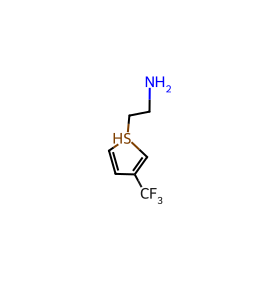 NCC[SH]1C=CC(C(F)(F)F)=C1